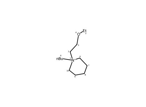 CCCC[N+]1(CCOCC)CCCCC1